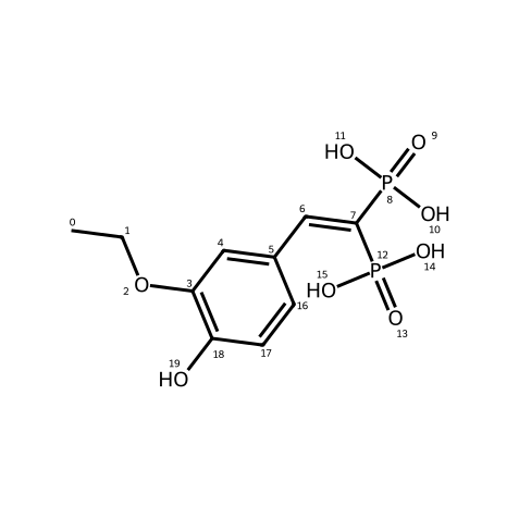 CCOc1cc(C=C(P(=O)(O)O)P(=O)(O)O)ccc1O